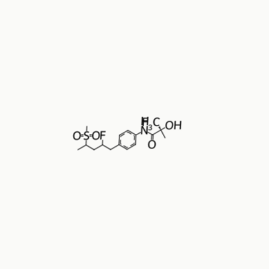 CC(CC(F)Cc1ccc(NC(=O)[C@@](C)(O)C(F)(F)F)cc1)S(C)(=O)=O